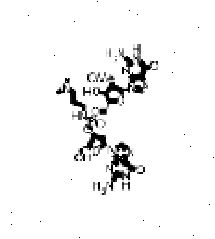 COC1C(O)[C@@H](COP(=O)(NCCCN(C)C)OC2C[C@H](n3cnc4c(=O)[nH]c(N)nc43)O[C@@H]2CO)O[C@H]1n1cnc2c(=O)[nH]c(N)nc21